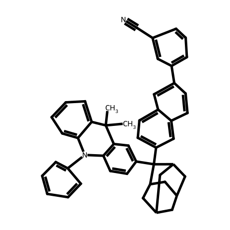 CC1(C)c2ccccc2N(c2ccccc2)c2ccc(C3(c4ccc5cc(-c6cccc(C#N)c6)ccc5c4)C4CC5CC(C4)CC3C5)cc21